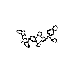 CC1(C)c2ccccc2N(c2ccc3c(c2)-c2ccccc2-c2ccc(N(c4ccccc4)c4ccc5ccccc5c4)cc2-c2ccccc2-3)c2cc3sc4ccccc4c3cc21